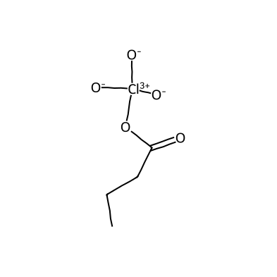 CCCC(=O)O[Cl+3]([O-])([O-])[O-]